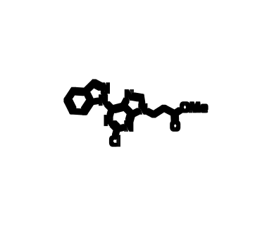 COC(=O)CCn1cnc2c(-n3ncc4ccccc43)nc(Cl)nc21